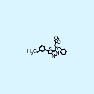 C=Cc1cccc(-c2cc3ncnc(N(CC4=COCO4)Cc4ccccc4)c3s2)c1